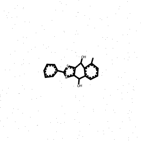 Cc1cccc2c1C(O)c1sc(-c3ccccc3)nc1C2O